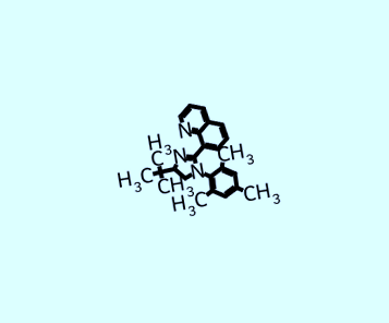 Cc1cc(C)c(N2CC(C(C)(C)C)N=C2c2cccc3cccnc23)c(C)c1